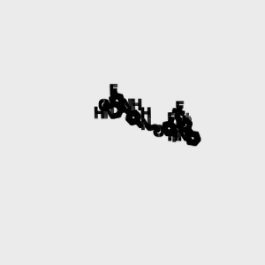 C[C@@H]1Cc2c([nH]c3ccccc23)[C@@H](c2c(F)cc(OCCNCc3ccc(-c4[nH]c5cc(F)cc6c5c4CCNC6=O)cc3)cc2F)N1CC(C)(C)F